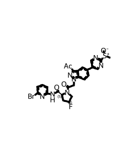 CC(=O)c1nn(CC(=O)N2C[C@H](F)C[C@H]2C(=O)Nc2cccc(Br)n2)c2ccc(-c3cnc([S+](C)[O-])nc3)cc12